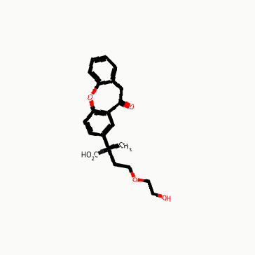 CC(CCOCCO)(C(=O)O)c1ccc2c(c1)C(=O)Cc1ccccc1O2